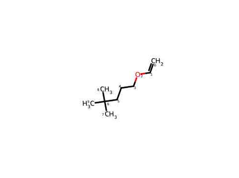 C=COCCCC(C)(C)C